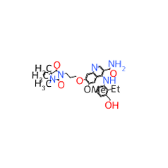 CCc1c(CO)cccc1Nc1c(C(N)=O)cnc2cc(OCCCN3C(=O)N(C)C(C)(C)C3=O)c(OC)cc12